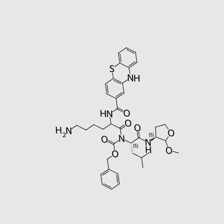 COC1OCC[C@@H]1NC(=O)[C@H](CC(C)C)N(C(=O)OCc1ccccc1)C(=O)C(CCCCN)NC(=O)c1ccc2c(c1)Nc1ccccc1S2